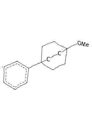 COC12CCC(c3c[c]ccc3)(CC1)CC2